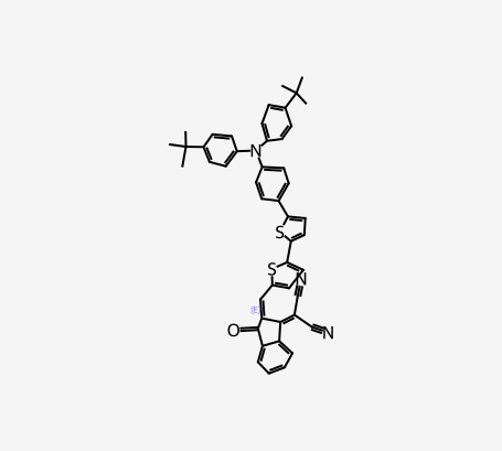 CC(C)(C)c1ccc(N(c2ccc(-c3ccc(-c4ccc(/C=C5/C(=O)c6ccccc6C5=C(C#N)C#N)s4)s3)cc2)c2ccc(C(C)(C)C)cc2)cc1